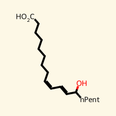 CCCCCC(O)/C=C/C=C\CCCCCCCC(=O)O